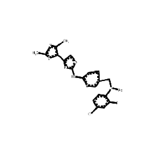 CC(=O)N(Cc1ccc(Nc2nc(-c3sc(C)nc3C)cs2)nc1)c1ccc(Cl)cc1F